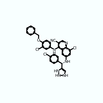 N#Cc1cnc2c(Cl)cc(N[C@H](C3=CNNN3)c3ccc(Cl)cc3)cc2c1Nc1ccc(OCc2ccccc2)c(Cl)c1